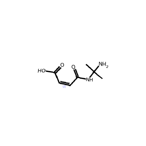 CC(C)(N)NC(=O)/C=C\C(=O)O